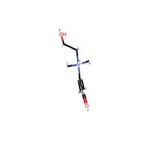 C[N+](C)(C#[As]=O)CCO